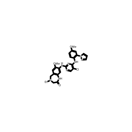 CCN1CC(=O)Nc2cc(Nc3ncc(Cl)c(Nc4ccc(OC)cc4-n4cccn4)n3)c(OC)cc2C1